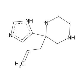 C=CCC1(c2cnc[nH]2)CNCC[N]1